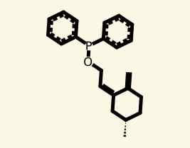 C=C1CC[C@H](C)C/C1=C/COP(c1ccccc1)c1ccccc1